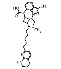 COCCn1nc(C)c2cccc(C(C(=O)O)N3CC(OCCCCCc4ccc5c(n4)NCCC5)C3)c21